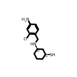 Nc1ccc(CN[C@@H]2CCC[C@H](S)C2)c(Cl)c1